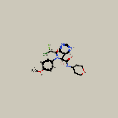 B[C@@](C(=O)NC1CCOCC1)(c1cncnc1)N(C(=O)[C@H](F)Cl)c1ccc(OC(F)(F)F)cc1